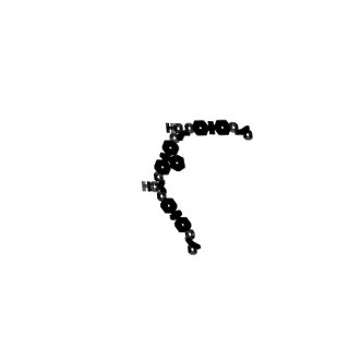 CC(C)(c1ccc(OCC(O)COc2ccc(C(C)(c3ccccc3)c3ccc(OCC(O)COc4ccc(C(C)(C)c5ccc(OCC6CO6)cc5)cc4)cc3)cc2)cc1)c1ccc(OCC2CO2)cc1